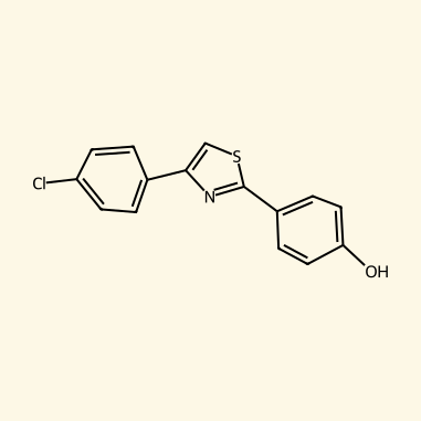 Oc1ccc(-c2nc(-c3ccc(Cl)cc3)cs2)cc1